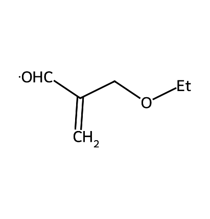 C=C([C]=O)COCC